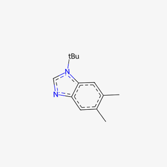 Cc1cc2ncn(C(C)(C)C)c2cc1C